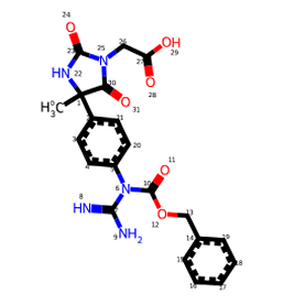 CC1(c2ccc(N(C(=N)N)C(=O)OCc3ccccc3)cc2)NC(=O)N(CC(=O)O)C1=O